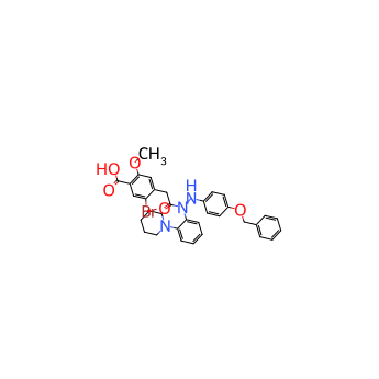 COc1cc(CC(=O)N(Nc2ccc(OCc3ccccc3)cc2)c2ccccc2N2CCCCC2)c(Br)cc1C(=O)O